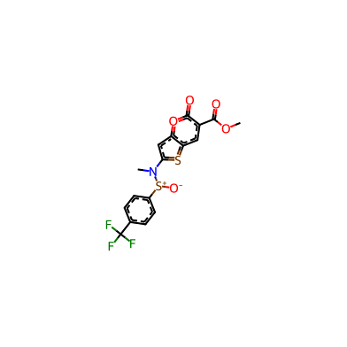 COC(=O)c1cc2sc(N(C)[S+]([O-])c3ccc(C(F)(F)F)cc3)cc2oc1=O